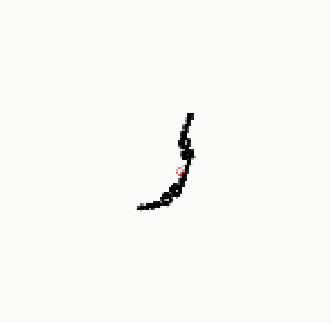 CCCCCCCC1CCC(c2ccc(CCCC(=O)CCCc3ccc([C@H]4CC[C@H](CCCCCCC)CC4)cc3)cc2)CC1